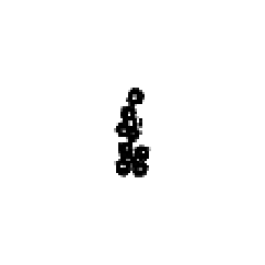 c1ccc(-c2ccc3c(c2)Oc2ccc(-c4ccc5c(c4)C(c4ccccc4)(c4ccccc4)c4ccccc4-5)c4cccc-3c24)cc1